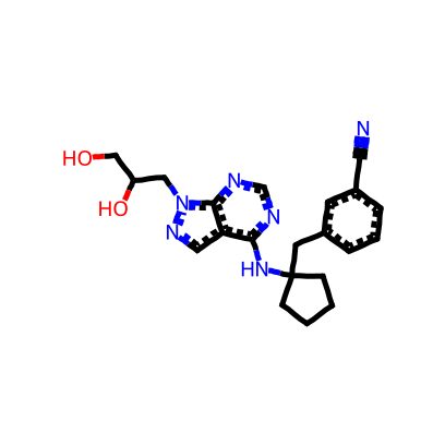 N#Cc1cccc(CC2(Nc3ncnc4c3cnn4CC(O)CO)CCCC2)c1